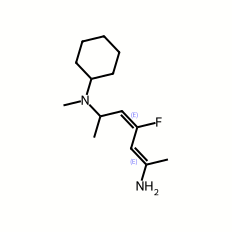 C/C(N)=C\C(F)=C/C(C)N(C)C1CCCCC1